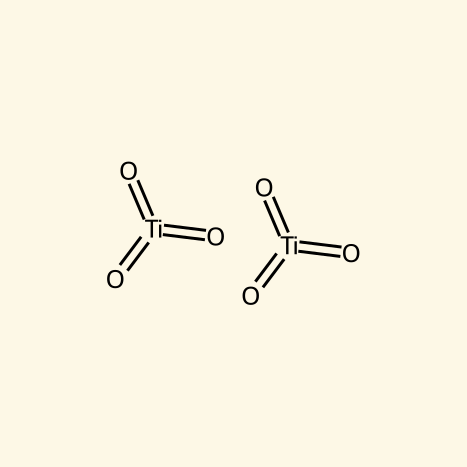 [O]=[Ti](=[O])=[O].[O]=[Ti](=[O])=[O]